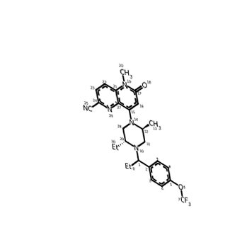 CCC(c1ccc(OC(F)(F)F)cc1)N1C[C@H](C)N(c2cc(=O)n(C)c3ccc(C#N)nc23)C[C@H]1CC